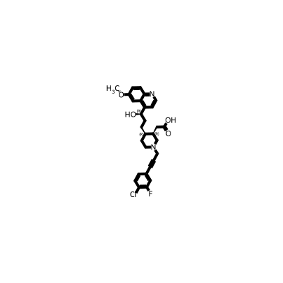 COc1ccc2nccc([C@H](O)CC[C@@H]3CCN(CC#Cc4ccc(Cl)c(F)c4)C[C@@H]3CC(=O)O)c2c1